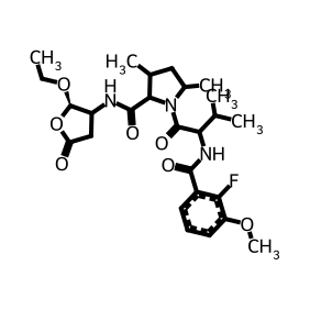 CCO[C@@H]1OC(=O)CC1NC(=O)C1C(C)CC(C)N1C(=O)C(NC(=O)c1cccc(OC)c1F)C(C)C